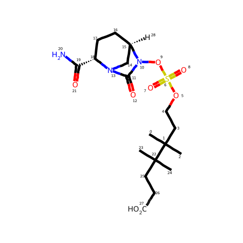 CC(C)(CCOS(=O)(=O)ON1C(=O)N2C[C@H]1CC[C@H]2C(N)=O)C(C)(C)CCC(=O)O